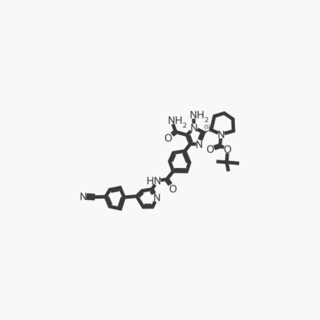 CC(C)(C)OC(=O)N1CCCC[C@H]1c1nc(-c2ccc(C(=O)Nc3cc(-c4ccc(C#N)cc4)ccn3)cc2)c(C(N)=O)n1N